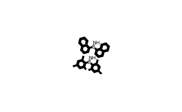 Cc1cc(C)c(B(N)c2c(C)cc(C)cc2C)c(C)c1.NB(c1cccc2ccccc12)c1cccc2ccccc12